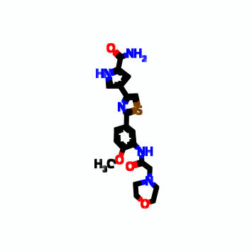 COc1ccc(-c2nc(-c3c[nH]c(C(N)=O)c3)cs2)cc1NC(=O)CN1CCOCC1